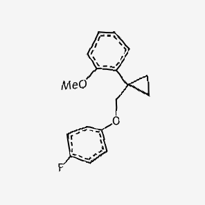 COc1ccccc1C1(COc2ccc(F)cc2)CC1